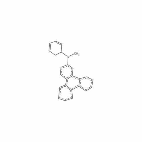 CN(c1ccc2c3ccccc3c3ccccc3c2c1)C1C=CC=CC1